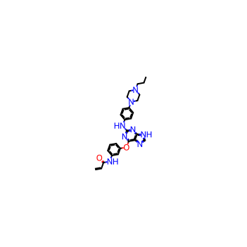 C=CC(=O)Nc1cccc(Oc2nc(Nc3ccc(N4CCN(CCC)CC4)cc3)nc3[nH]cnc23)c1